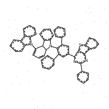 C1=CC2C(C(n3c4ccccc4c4ccccc43)=C1)c1ccccc1N2c1c(-c2ccccc2)cc(-c2nc(-c3ccccc3)nc3c2sc2ccccc23)cc1-c1ccccc1